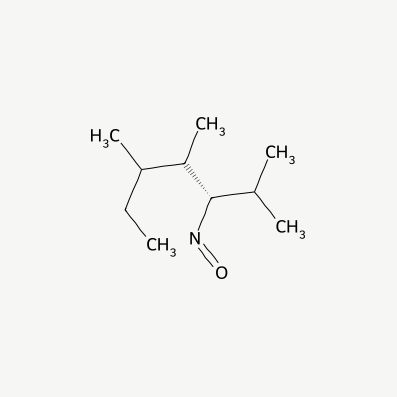 CCC(C)C(C)[C@@H](N=O)C(C)C